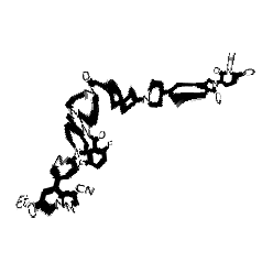 CCOc1cc(-c2ccc(N3CCC(CN4CCN(C(=O)C5CC6(C5)CC(N5CCC(c7ccc8c(c7)CN(C7CCC(=O)NC7=O)C8=O)CC5)C6)CC4)(NC(=O)c4cc(F)ccc4F)CC3)nc2)c2c(C#N)cnn2c1